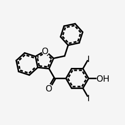 O=C(c1cc(I)c(O)c(I)c1)c1c(Cc2ccccc2)oc2ccccc12